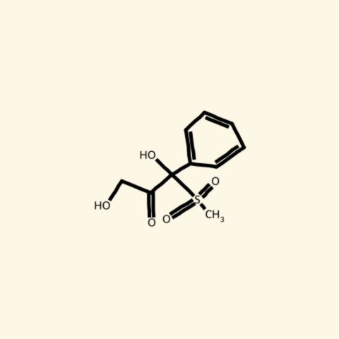 CS(=O)(=O)C(O)(C(=O)CO)c1ccccc1